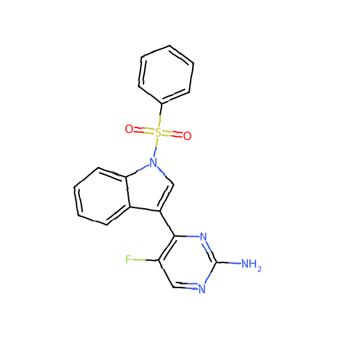 Nc1ncc(F)c(-c2cn(S(=O)(=O)c3ccccc3)c3ccccc23)n1